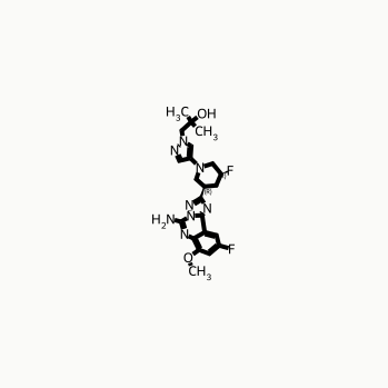 COc1cc(F)cc2c1nc(N)n1nc([C@@H]3C[C@@H](F)CN(c4cnn(CC(C)(C)O)c4)C3)nc21